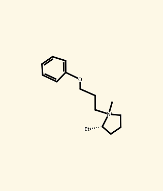 CC[C@H]1CCC[N+]1(C)CCCOc1ccccc1